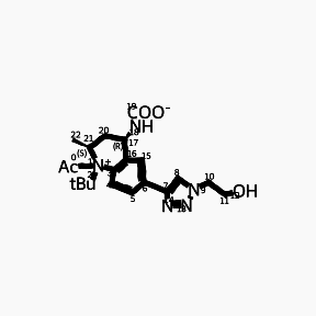 CC(=O)[N+]1(C(C)(C)C)c2ccc(-c3cn(CCO)nn3)cc2[C@H](NC(=O)[O-])C[C@@H]1C